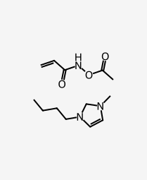 C=CC(=O)NOC(C)=O.CCCCN1C=CN(C)C1